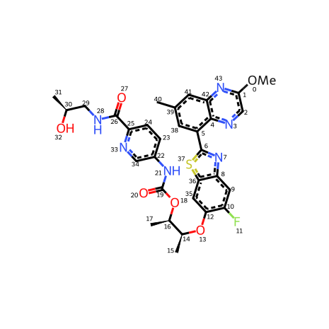 COc1cnc2c(-c3nc4cc(F)c(O[C@@H](C)[C@@H](C)OC(=O)Nc5ccc(C(=O)NC[C@H](C)O)nc5)cc4s3)cc(C)cc2n1